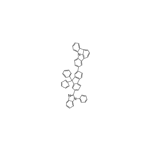 c1ccc(-n2c(-c3ccc4c(c3)C(c3ccccc3)(c3ccccc3)c3cc(-c5ccc6c(c5)c5cccc7c8ccccc8n6c75)ccc3-4)nc3ccccc32)cc1